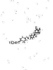 CCCCCCCCCCC1CCC(COc2ccc(C(=O)Oc3cc(F)c(F)c(F)c3)cc2)CC1